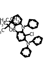 CC1(C)OB(c2ccc(N(c3ccccc3)c3ccccc3)c(Cl)c2N(c2ccccc2)c2ccccc2)OC1(C)C